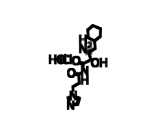 Cl.Cl.N[C@H](CC1CCCCC1)C(O)C(=O)NC(=O)CCn1ccnc1